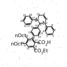 C1=CN(c2ccccc2)C(c2ccccc2)N(c2ccccc2)C1.CCCCCCCCc1cc(C(=O)O)c(C(=O)OCC)cc1CCCCCCCC